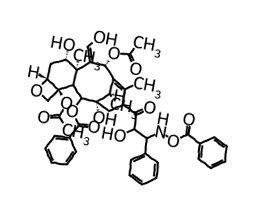 CC(=O)O[C@@H]1C2=C(C)C(C(=O)C(O)C(NOC(=O)c3ccccc3)c3ccccc3)C[C@@](O)(C(OC(=O)c3ccccc3)C3[C@](C)(/C1=C/O)[C@@H](O)C[C@H]1OC[C@@]31OC(C)=O)[C@@H]2C